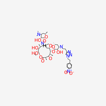 CC[C@H]1OC(=O)[C@H](C)C(=O)[C@H](C)[C@@H](O[C@@H]2O[C@H](C)C[C@H](N(C)CCc3cn(CCc4ccc([N+](=O)[O-])cc4)nn3)[C@H]2O)[C@@]2(C)C[C@@H](CO2)/C(=N\O[C@H]2O[C@H](C)C[C@H](N(C)C)[C@H]2O)[C@H](C)[C@@H](O)[C@]1(C)O